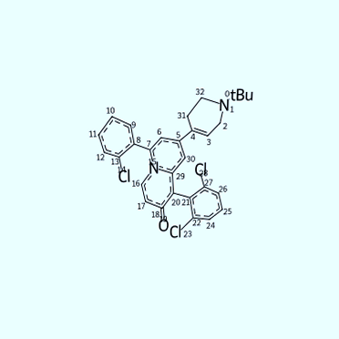 CC(C)(C)N1CC=C(c2cc(-c3ccccc3Cl)n3ccc(=O)c(-c4c(Cl)cccc4Cl)c3c2)CC1